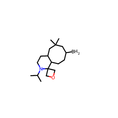 BC1CCC2C(CCN(C(C)C)C23COC3)CC(C)(C)C1